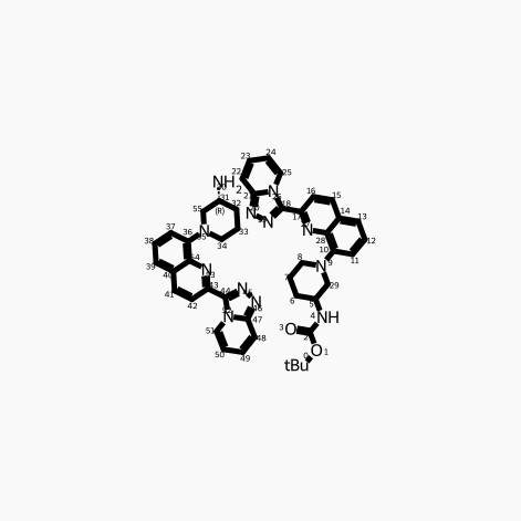 CC(C)(C)OC(=O)NC1CCCN(c2cccc3ccc(-c4nnc5ccccn45)nc23)C1.N[C@@H]1CCCN(c2cccc3ccc(-c4nnc5ccccn45)nc23)C1